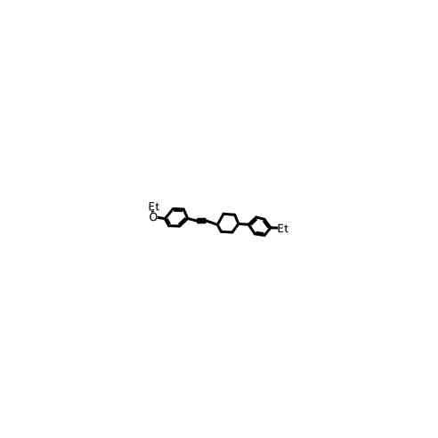 CCOc1ccc(C#CC2CCC(c3ccc(CC)cc3)CC2)cc1